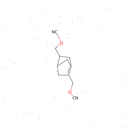 N#COCC1=C2CC(COC#N)C(C1)C2